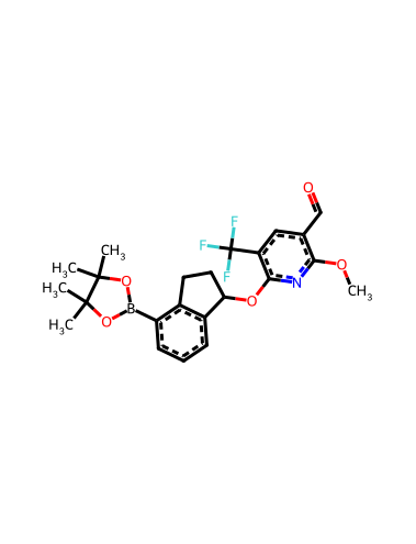 COc1nc(OC2CCc3c(B4OC(C)(C)C(C)(C)O4)cccc32)c(C(F)(F)F)cc1C=O